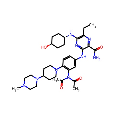 CCc1nc(C(N)=O)c(Nc2ccc(N3CCC(N4CCN(C)CC4)CC3)c(N(C(C)=O)C(C)=O)c2)nc1N[C@H]1CC[C@H](O)CC1